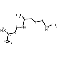 CNCCCC(C)NCCC(C)C